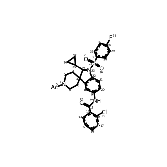 CC(=O)N1CCC2(CC1)c1cc(NC(=O)c3cccnc3Cl)ccc1N(S(=O)(=O)c1ccc(F)cc1)C2C1CC1